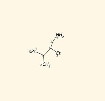 CCCC(C)C(CC)CN